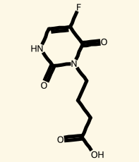 O=C(O)CCCn1c(=O)[nH]cc(F)c1=O